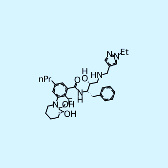 CCCc1cc(C(=O)N[C@@H](Cc2ccccc2)[C@H](O)CNCc2cnn(CC)c2)c(F)c(N2CCCCS2(O)O)c1